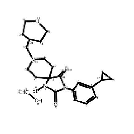 CCN1C(=O)N(c2cccc(C3CC3)c2)C(=O)C12CCN(CC1CCOCC1)CC2.O=CO